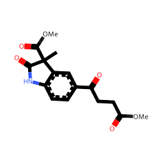 COC(=O)CCC(=O)c1ccc2c(c1)C(C)(C(=O)OC)C(=O)N2